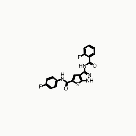 O=C(Nc1ccc(F)cc1)c1cc2c(NC(=O)c3ccccc3F)n[nH]c2s1